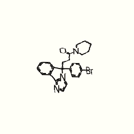 O=C(CCC1(c2ccc(Br)cc2)c2ccccc2-c2nccn21)N1CCCCC1